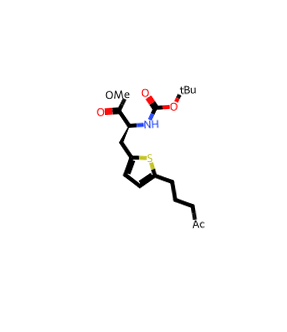 COC(=O)[C@H](Cc1ccc(CCCC(C)=O)s1)NC(=O)OC(C)(C)C